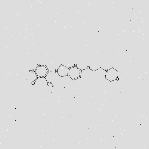 O=c1[nH]ncc(N2Cc3ccc(OCCN4CCOCC4)nc3C2)c1C(F)(F)F